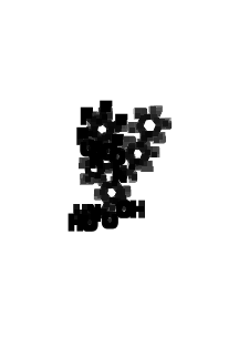 O=C(NO)c1ccc(N(Cc2ccc(C3CCCCC3)cc2)C(=O)[C@H]2CCCN2S(=O)(=O)c2c(F)c(F)c(F)c(F)c2F)cc1O